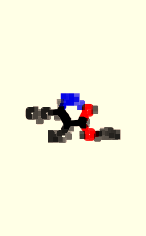 CC(C)(C)OC(=O)/C(C#N)=C(\N)C(Cl)(Cl)Cl